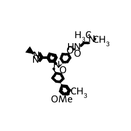 COc1ccc([C@H]2CC[C@H](CN(c3cccc(-c4cnn(C5CC5)c4)c3)C(=O)[C@H]3CC[C@H](OC(=O)NCCCN(C)C)CC3)CC2)cc1C